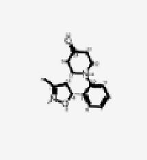 CC1=NO[C@@H](c2ccccc2N2CCC(=O)CC2)C1